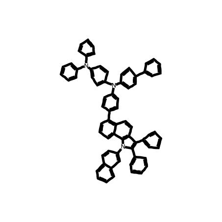 c1ccc(-c2ccc(N(c3ccc(-c4cccc5c4ccc4c(-c6ccccc6)c(-c6ccccc6)n(-c6ccc7ccccc7c6)c45)cc3)c3ccc(N(c4ccccc4)c4ccccc4)cc3)cc2)cc1